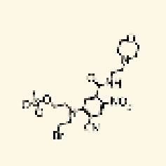 CS(=O)(=O)OCCN(CCBr)c1cc(C(=O)NCCN2CCOCC2)c([N+](=O)[O-])cc1C#N